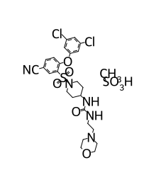 CS(=O)(=O)O.N#Cc1ccc(Oc2cc(Cl)cc(Cl)c2)c(S(=O)(=O)N2CCC(NC(=O)NCCN3CCOCC3)CC2)c1